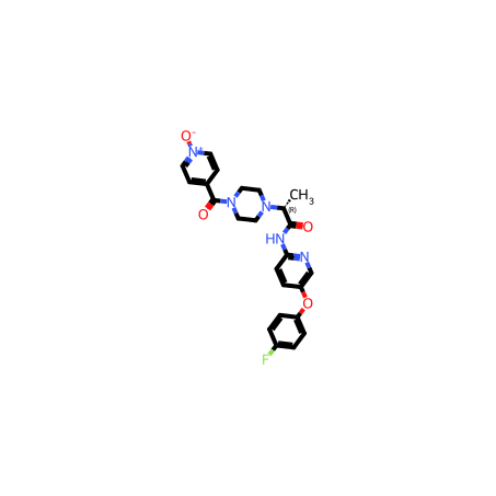 C[C@H](C(=O)Nc1ccc(Oc2ccc(F)cc2)cn1)N1CCN(C(=O)c2cc[n+]([O-])cc2)CC1